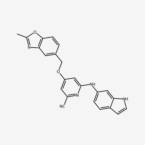 Cc1nc2cc(COc3cc(C#N)nc(Nc4ccc5cc[nH]c5c4)c3)ccc2o1